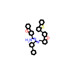 N/C(=N\C(=N/Cc1cccc2oc3ccc(-c4cccc5c4sc4ccccc45)cc3c12)c1cccc(-c2ccccc2)c1)c1ccc2c(c1)oc1ccccc12